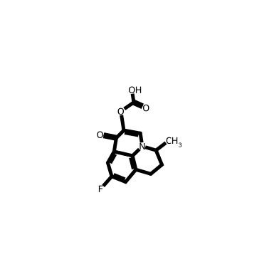 CC1CCc2cc(F)cc3c(=O)c(OC(=O)O)cn1c23